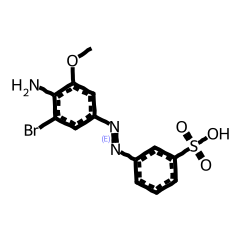 COc1cc(/N=N/c2cccc(S(=O)(=O)O)c2)cc(Br)c1N